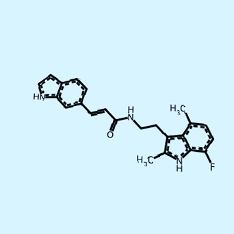 Cc1[nH]c2c(F)ccc(C)c2c1CCNC(=O)C=Cc1ccc2cc[nH]c2c1